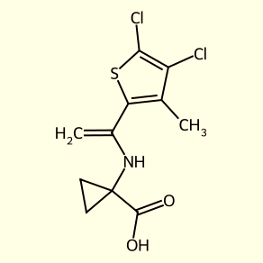 C=C(NC1(C(=O)O)CC1)c1sc(Cl)c(Cl)c1C